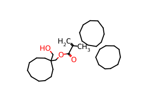 C1CCCCCCCCC1.C1CCCCCCCCC1.C=C(C)C(=O)OCC1(CO)CCCCCCCCC1